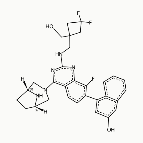 OCC1(CNc2nc(N3C[C@H]4CC[C@@H](C3)N4)c3ccc(-c4cc(O)cc5ccccc45)c(F)c3n2)CC(F)(F)C1